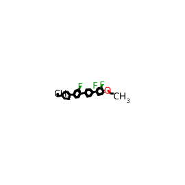 C=CC1CC=C(c2ccc(-c3ccc(-c4ccc(OCCC)c(F)c4F)cc3)c(F)c2)CC1